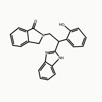 O=C1c2ccccc2CN1CC(c1nc2ccccc2[nH]1)c1ccccc1O